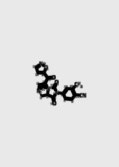 N#Cc1ccc(N2C(=O)C3C[N@]4CC(C(=O)c5ccno5)[N+]3(C4)C2=O)cc1C(F)(F)F